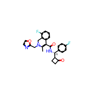 CC1=C(C(=O)N[C@H](c2ccc(F)cc2)C2CCC2=O)c2cccc(F)c2CN1Cc1ncco1